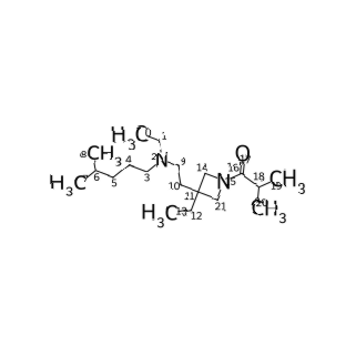 CCN(CCCC(C)C)CCC1(CC)CN(C(=O)C(C)C)C1